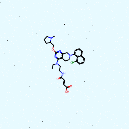 CCN(CCNC(=O)/C=C/C(=O)O)c1nc(OCC2CCCN2C)nc2c1CCN(c1cccc3cccc(Cl)c13)C2